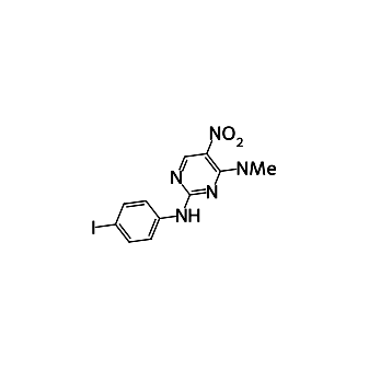 CNc1nc(Nc2ccc(I)cc2)ncc1[N+](=O)[O-]